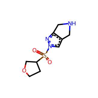 O=S(=O)(C1CCOC1)n1cc2c(n1)CNC2